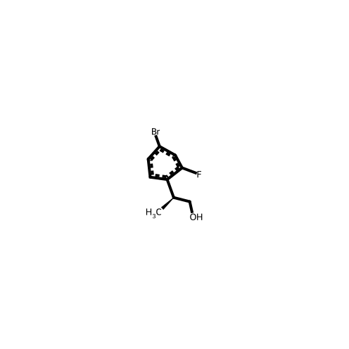 C[C@H](CO)c1ccc(Br)cc1F